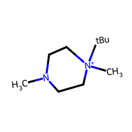 CN1CC[N+](C)(C(C)(C)C)CC1